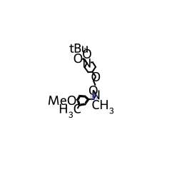 COc1ccc(/C(C)=N\OCCOC2CCN(C(=O)OC(C)(C)C)CC2)cc1C